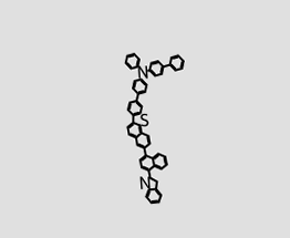 c1ccc(-c2ccc(N(c3ccccc3)c3ccc(-c4ccc5c(c4)sc4c6ccc(-c7ccc(C8=Nc9ccccc9C8)c8ccccc78)cc6ccc54)cc3)cc2)cc1